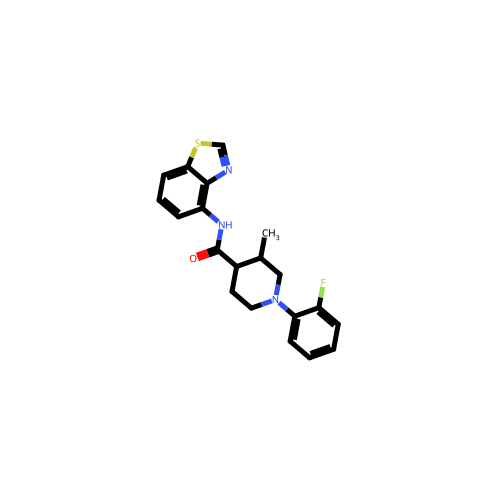 CC1CN(c2ccccc2F)CCC1C(=O)Nc1cccc2scnc12